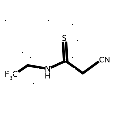 N#CCC(=S)NCC(F)(F)F